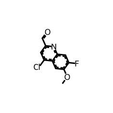 COc1cc2c(Cl)cc(C=O)nc2cc1F